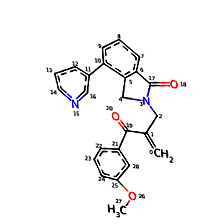 C=C(CN1Cc2c(cccc2-c2cccnc2)C1=O)C(=O)c1cccc(OC)c1